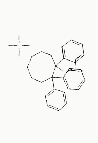 C[N+](C)(C)C.OB(O)OC1(c2ccccc2)CCCCCCC1(c1ccccc1)c1ccccc1